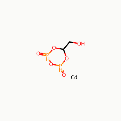 O=[PH]1OC(CO)O[PH](=O)O1.[Cd]